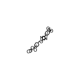 CS(=O)(=O)N1CCN(c2cnc(OCC3CCN(C(=O)O[C@@H]4CCOC4)CC3)cn2)CC1